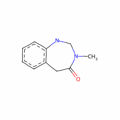 CN1C[N]c2ccccc2CC1=O